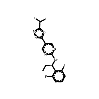 CC[C@@H](Nc1ncc(-c2nnc(C(F)F)o2)cn1)c1c(F)cccc1F